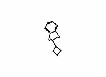 c1ccc2sc(C3CCC3)nc2c1